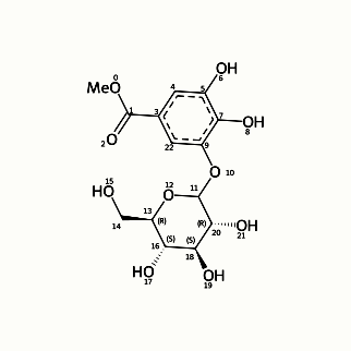 COC(=O)c1cc(O)c(O)c(OC2O[C@H](CO)[C@@H](O)[C@H](O)[C@H]2O)c1